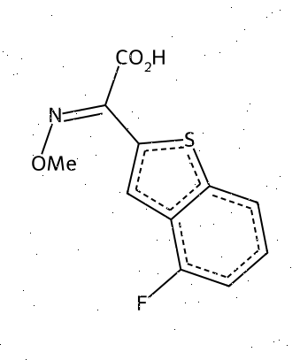 CO/N=C(/C(=O)O)c1cc2c(F)cccc2s1